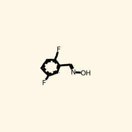 ON=Cc1[c]c(F)ccc1F